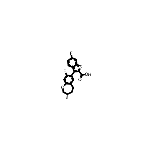 C[C@@H]1CCc2cc(-c3c(C(=O)O)sc4cc(F)ccc34)c(F)cc2OC1